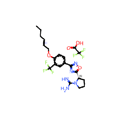 CCC/C=C/COc1ccc(-c2noc([C@@H]3CCCN3C(=N)N)n2)cc1C(F)(F)F.O=C(O)C(F)(F)F